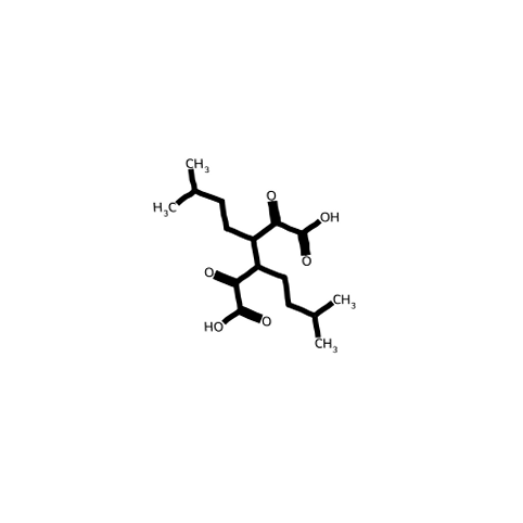 CC(C)CCC(C(=O)C(=O)O)C(CCC(C)C)C(=O)C(=O)O